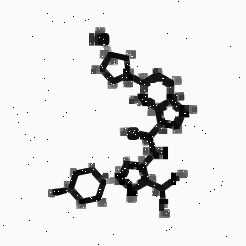 C[C@H]1CC[C@H](n2cc(NC(=O)c3cnn4ccc(N5CC[C@H](O)C5)nc34)c(C(F)F)n2)CC1